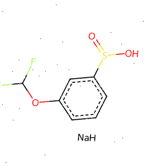 O=S(O)c1cccc(OC(F)F)c1.[NaH]